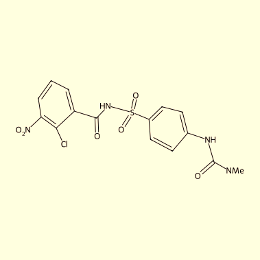 CNC(=O)Nc1ccc(S(=O)(=O)NC(=O)c2cccc([N+](=O)[O-])c2Cl)cc1